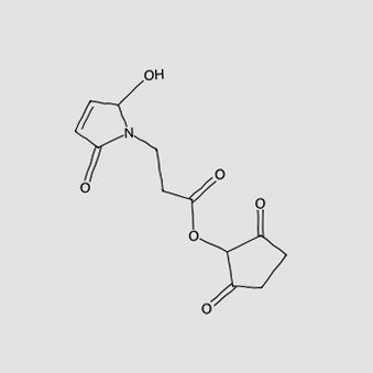 O=C(CCN1C(=O)C=CC1O)OC1C(=O)CCC1=O